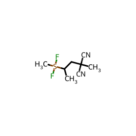 CC(CC(C)(C#N)C#N)S(C)(F)F